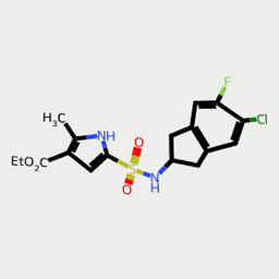 CCOC(=O)c1cc(S(=O)(=O)NC2Cc3cc(F)c(Cl)cc3C2)[nH]c1C